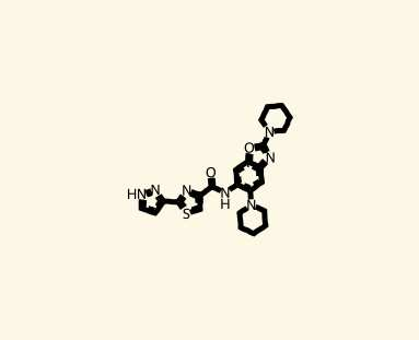 O=C(Nc1cc2oc(N3CCCCC3)nc2cc1N1CCCCC1)c1csc(-c2cc[nH]n2)n1